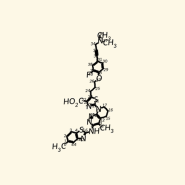 Cc1ccc2sc(Nc3nnc4c(c3C)CCCN4c3nc(C(=O)O)c(CCCOc4ccc(C#CCN(C)C)cc4F)s3)nc2c1